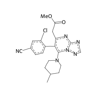 COC(=O)Cc1nc2ncnn2c(N2CCC(C)CC2)c1-c1ccc(C#N)cc1Cl